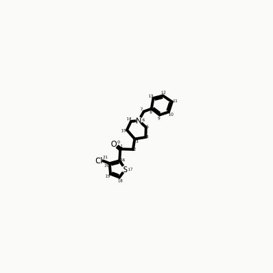 O=C(CC1CCN(Cc2ccccc2)CC1)c1sccc1Cl